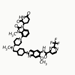 COc1cc2nn(C3CCC(CN(C)C4CCN(c5cccc6c5n(C)c(=O)n6C5CCC(=O)NC5=O)CC4)CC3)cc2cc1NC(=O)c1ccnc(C(F)(F)F)n1